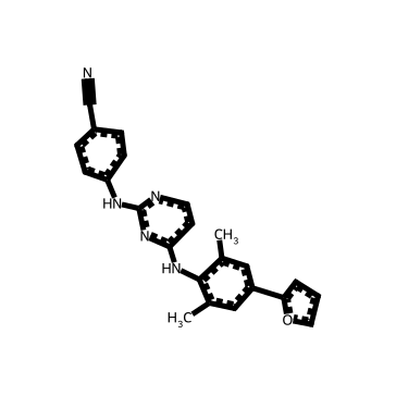 Cc1cc(-c2ccco2)cc(C)c1Nc1ccnc(Nc2ccc(C#N)cc2)n1